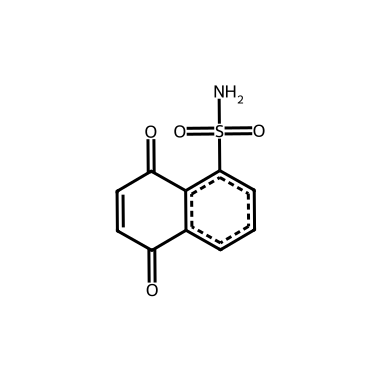 NS(=O)(=O)c1cccc2c1C(=O)C=CC2=O